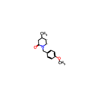 COc1ccc(CN2[CH][CH]C(C)CC2=O)cc1